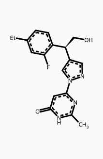 CCc1ccc([C@@H](CO)c2cnn(-c3cc(=O)[nH]c(C)n3)c2)c(F)c1